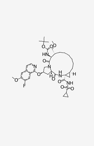 COC[C@@H]1CCCCCC[C@H]2C[C@@]2(C(=O)NS(=O)(=O)C2CC2)NC(=O)[C@@H]2C[C@@H](Oc3nccc4cc(OC)c(F)cc34)CN2C(=O)[C@H]1NC(=O)OC(C)(C)C